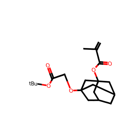 C=C(C)C(=O)OC12CC3CC(CC(OCC(=O)OC(C)(C)C)(C3)C1)C2